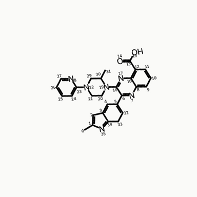 CC1=CC2=CC(c3nc4cccc(C(=O)O)c4nc3N3CCN(c4ccccn4)CC3C)=CCC2=N1